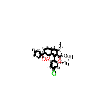 Cc1cc2ccc(C3(O)CCCC3)cc2c(-c2ccc(Cl)cc2)c1C(OC(C)(C)C)C(=O)O